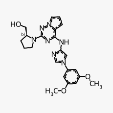 COc1cc(OC)cc(-n2cnc(Nc3nc(N4CCC[C@H]4CO)nn4cccc34)c2)c1